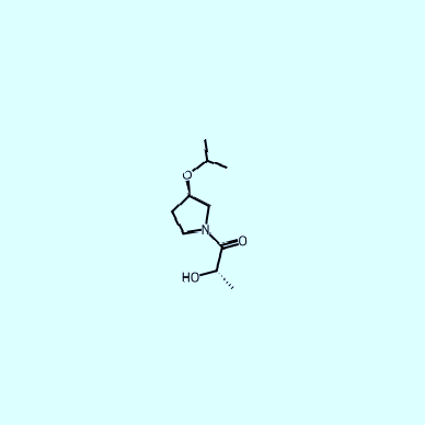 CC(C)O[C@@H]1CCN(C(=O)[C@H](C)O)C1